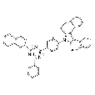 N/C(=N\C(=N/Cc1ccccc1)c1ccc(-n2c3ccc4ccccc4c3c3c4ccccc4ccc32)nc1)c1ccc2ccccc2c1